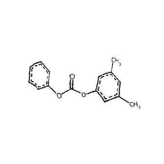 Cc1cc(C)cc(OC(=O)Oc2ccccc2)c1